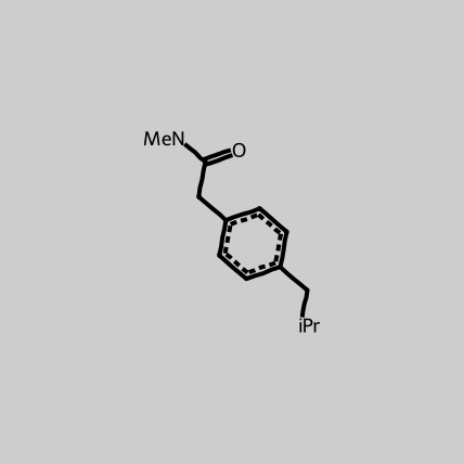 CNC(=O)Cc1ccc(CC(C)C)cc1